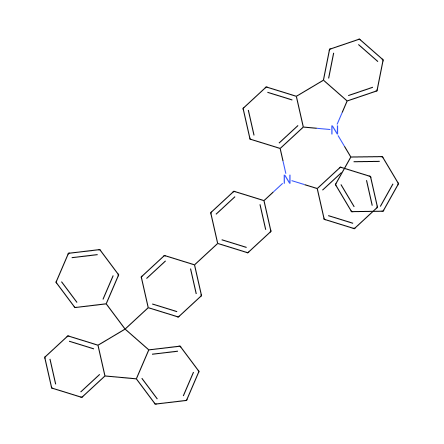 c1ccc(N(c2ccc(-c3ccc(C4(c5ccccc5)c5ccccc5-c5ccccc54)cc3)cc2)c2cccc3c4ccccc4n(-c4ccccc4)c23)cc1